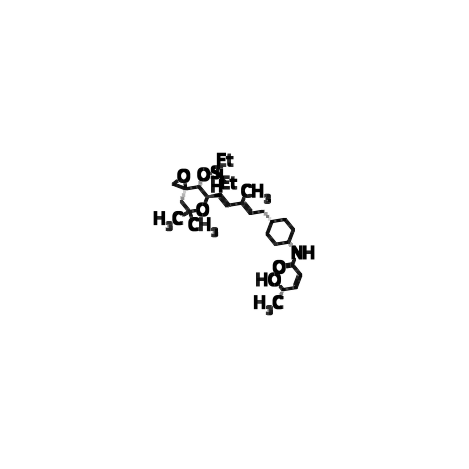 CC[SiH](CC)O[C@@H]1[C@@H](/C=C/C(C)=C/C[C@H]2CC[C@@H](NC(=O)/C=C\[C@H](C)O)CC2)OC(C)(C)C[C@@]12CO2